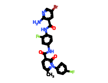 Cc1ccc(C(=O)Nc2ccc(NC(=O)c3cc(Br)cnc3N)c(F)c2)c(=O)n1-c1ccc(F)cc1